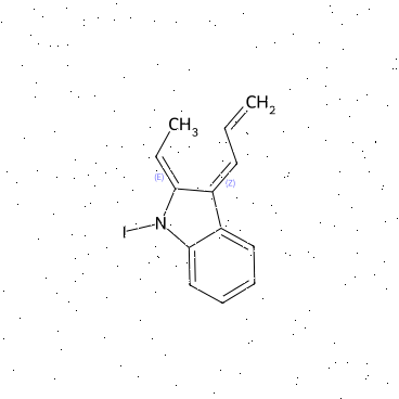 C=C/C=c1\c(=C/C)n(I)c2ccccc12